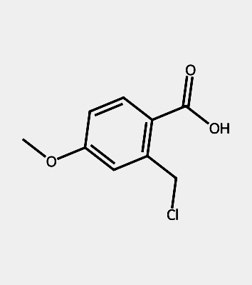 COc1ccc(C(=O)O)c(CCl)c1